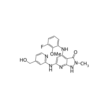 COc1c(F)cccc1Nc1cc(Nc2cc(CO)ccn2)nc2[nH]n(C)c(=O)c12